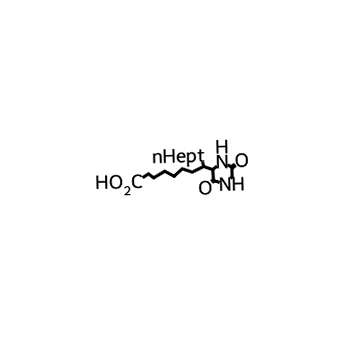 CCCCCCCC(CCCCCCC(=O)O)C1NC(=O)CNC1=O